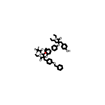 CCCC(OC(=O)C(F)(F)F)C(Cc1ccc(OCc2ccccc2)cc1)(Oc1ccccc1)C(=O)OCC.CCCCC(Cc1ccc(O)cc1)(Oc1ccccc1)C(=O)OCC